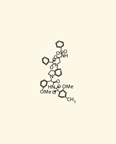 COc1cccc(C(C(=O)NS(=O)(=O)c2ccc(C)cc2OC)N2CCc3c2cccc3N(CC(=O)NS(=O)(=O)c2ccccc2)S(=O)(=O)c2ccccc2)c1